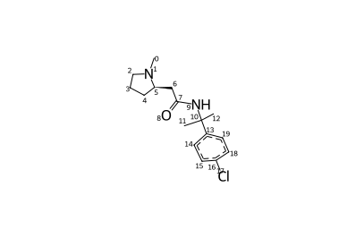 CN1CCC[C@@H]1CC(=O)NC(C)(C)c1ccc(Cl)cc1